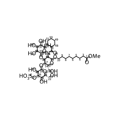 COC(=O)CCCCCCCCO[C@@H]1O[C@H](CO)[C@@H](O[C@@H]2O[C@H](CO)[C@H](O)[C@H](OS(=O)(=O)O)[C@H]2O)[C@H](O[C@@H]2O[C@@H](C)[C@@H](O)[C@@H](O)[C@@H]2O)[C@H]1NC(=O)C1CCCCC1